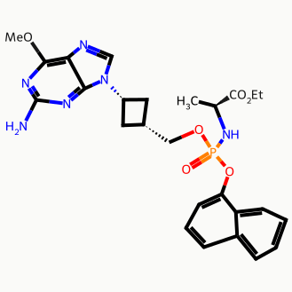 CCOC(=O)[C@H](C)NP(=O)(OC[C@H]1C[C@@H](n2cnc3c(OC)nc(N)nc32)C1)Oc1cccc2ccccc12